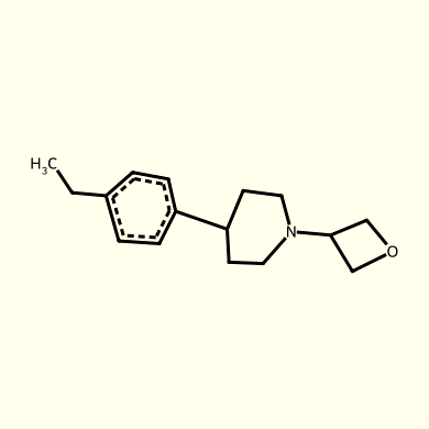 CCc1ccc(C2CCN(C3COC3)CC2)cc1